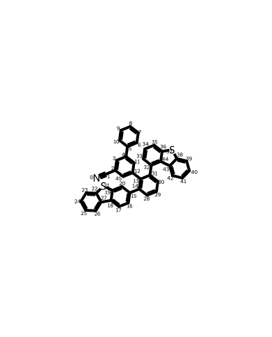 N#Cc1cc(-c2ccccc2)cc(-c2c(-c3ccc4c(c3)sc3ccccc34)cccc2-c2cccc3sc4ccccc4c23)c1